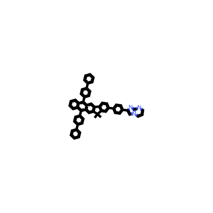 CC1(C)c2cc(-c3ccc(-c4cn5cccnc5n4)cc3)ccc2-c2cc3c(-c4ccc(-c5ccccc5)cc4)c4ccccc4c(-c4ccc(-c5ccccc5)cc4)c3cc21